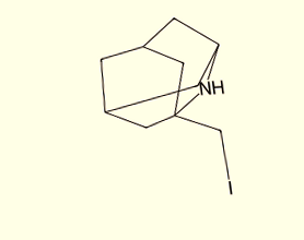 ICC12CC3CC(CC(C3)N1)C2